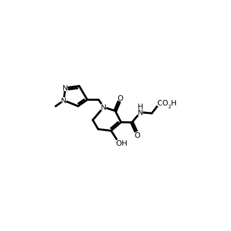 Cn1cc(CN2CCC(O)=C(C(=O)NCC(=O)O)C2=O)cn1